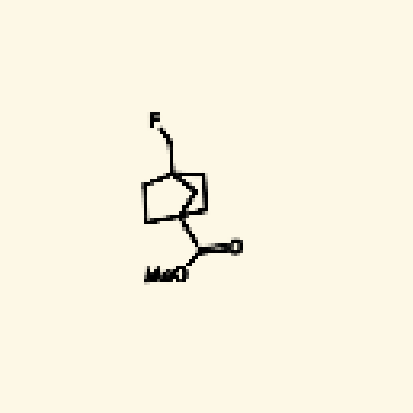 COC(=O)C12CCC(CF)(CC1)C2